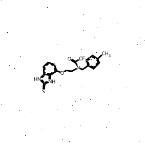 Cc1ccc(CN(CCOc2cccc3[nH]c(=S)[nH]c23)C(=O)C(F)(F)F)cc1